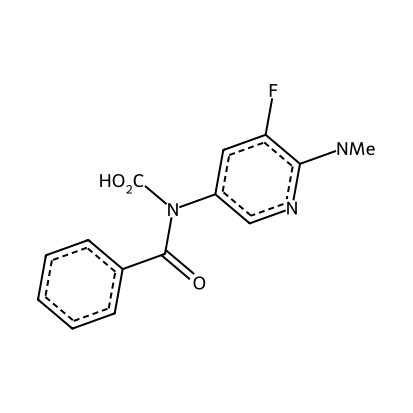 CNc1ncc(N(C(=O)O)C(=O)c2ccccc2)cc1F